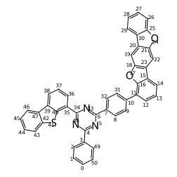 c1ccc(-c2nc(-c3ccc(-c4cccc5c4oc4cc6c(cc45)oc4ccccc46)cc3)nc(-c3cccc4c3sc3ccccc34)n2)cc1